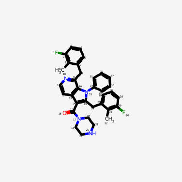 Cc1c(F)cccc1Cc1nccc2c(C(=O)N3CCNCC3)c(Cc3cccc(F)c3C)n(-c3ccccc3)c12